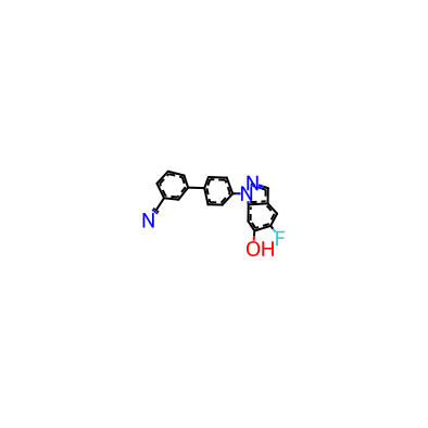 N#Cc1cccc(-c2ccc(-n3ncc4cc(F)c(O)cc43)cc2)c1